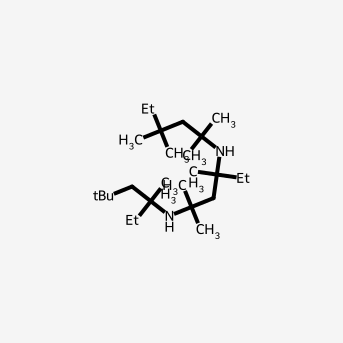 CCC(C)(C)CC(C)(C)NC(C)(CC)CC(C)(C)NC(C)(CC)CC(C)(C)C